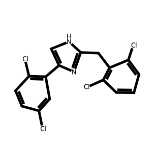 Clc1ccc(Cl)c(-c2c[nH]c(Cc3c(Cl)cccc3Cl)n2)c1